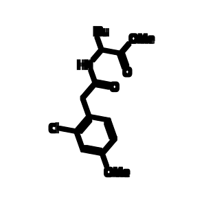 CCC(C)C(NC(=O)Cc1ccc(OC)cc1Cl)C(=O)OC